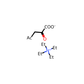 CC(=O)CC(=O)C(=O)[O-].CC[N+](CC)(CC)CC